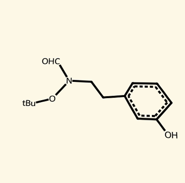 CC(C)(C)ON(C=O)CCc1cccc(O)c1